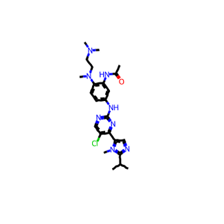 CC(=O)Nc1cc(Nc2ncc(Cl)c(-c3cnc(C(C)C)n3C)n2)ccc1N(C)CCN(C)C